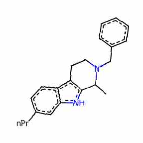 CCCc1ccc2c3c([nH]c2c1)C(C)N(Cc1ccccc1)CC3